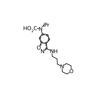 CC(C)N(C(=O)O)c1ccc2c(NCCCN3CCOCC3)noc2c1